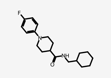 O=C(NCC1CCCCC1)C1CCN(c2ccc(F)cc2)CC1